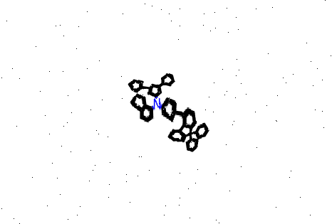 c1ccc(-c2cc(-c3ccccc3)cc(N(c3ccc(-c4cccc5c4-c4ccccc4C5(c4ccccc4)c4ccccc4)cc3)c3cccc4ccccc34)c2)cc1